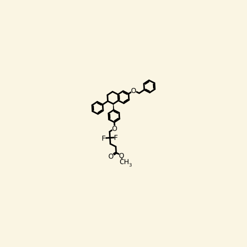 COC(=O)CCC(F)(F)COc1ccc([C@@H]2c3ccc(OCc4ccccc4)cc3CCC2c2ccccc2)cc1